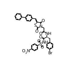 O=C(CN1C(=O)SC(=Cc2ccc(-c3ccccc3)cc2)C1=O)N[C@@H](Cc1ccc(Br)cc1)C(=O)NS(=O)(=O)c1ccc([N+](=O)[O-])cc1